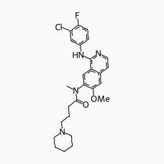 COc1cc2ccnc(Nc3ccc(F)c(Cl)c3)c2cc1N(C)C(=O)CCCN1CCCCC1